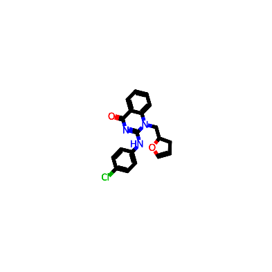 O=c1nc(Nc2ccc(Cl)cc2)n(CC2CC=CO2)c2ccccc12